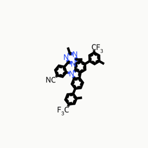 Cc1cc(-c2ccc3c(c2)c2ccc(-c4ccc(C(F)(F)F)cc4C)cc2n3-c2cc(C#N)ccc2-c2nc(C)nc(C)n2)cc(C(F)(F)F)c1